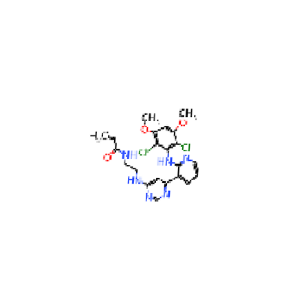 C=CC(=O)NCCNc1cc(-c2cccnc2Nc2c(Cl)c(OC)cc(OC)c2Cl)ncn1